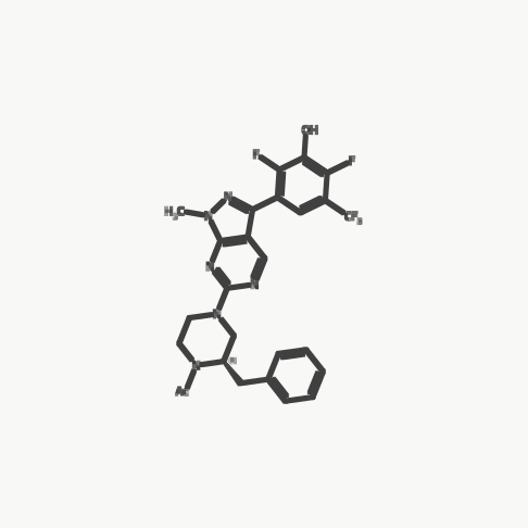 CC(=O)N1CCN(c2ncc3c(-c4cc(C(F)(F)F)c(F)c(O)c4F)nn(C)c3n2)C[C@H]1Cc1ccccc1